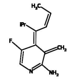 C=c1c(N)ncc(F)/c1=C(/C=C\C)C(C)C